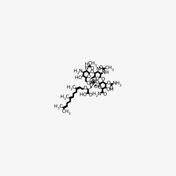 CC(=O)NC1[C@H](O[C@@H]2C(CO)O[C@@H](O[C@@H]3C(OP(=O)(O)OC[C@@H](OC/C=C(/C)CC/C=C(\C)CCC=C(C)C)C(=O)O)OC(C(N)=O)C(O)[C@@H]3OC(N)=O)C(NC(C)=O)[C@H]2N)OC(CO)[C@@H](O)[C@@H]1N